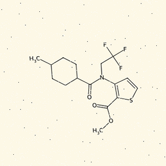 COC(=O)c1sccc1N(CC(F)(F)F)C(=O)C1CCC(C)CC1